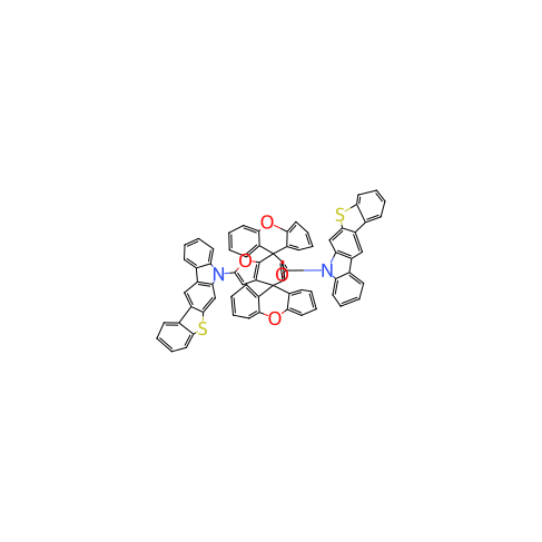 c1ccc2c(c1)Oc1ccccc1C21c2cc(-n3c4ccccc4c4cc5c(cc43)sc3ccccc35)oc2C2(c3ccccc3Oc3ccccc32)c2cc(-n3c4ccccc4c4cc5c(cc43)sc3ccccc35)oc21